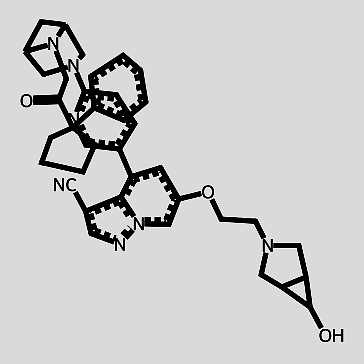 N#Cc1cnn2cc(OCCN3CC4C(O)C4C3)cc(-c3ccc(N4CC5CC(C4)N5CC(=O)C4(c5ccccc5)CCCC4)nc3)c12